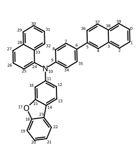 c1ccc2cc(-c3ccc(N(c4ccc5c(c4)oc4ccccc45)c4cccc5ccccc45)cc3)ccc2c1